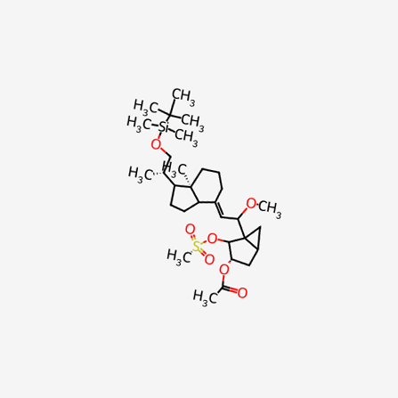 COC(/C=C1\CCC[C@@]2(C)C1CCC2[C@H](C)CO[Si](C)(C)C(C)(C)C)C12CC1C[C@H](OC(C)=O)C2OS(C)(=O)=O